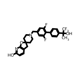 CC(O)(c1ccc(-c2c(F)cc(CN3CCC4(CC3)Cc3ccc(O)nc3O4)cc2F)cc1)C(F)(F)F